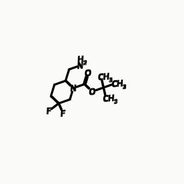 CC(C)(C)OC(=O)N1CC(F)(F)CCC1CN